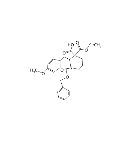 CCOC(=O)C1(C(=O)O)CCCN(C(=O)OCc2ccccc2)C1Cc1ccc(OC)cc1